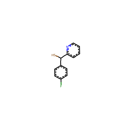 Fc1ccc(C(S)c2ccccn2)cc1